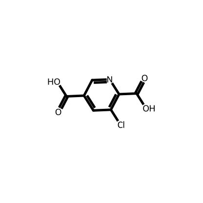 O=C(O)c1cnc(C(=O)O)c(Cl)c1